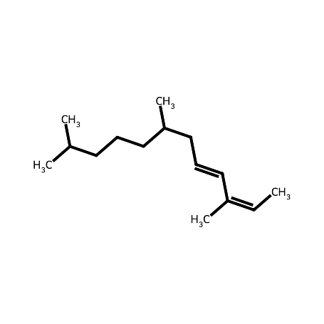 CC=C(C)C=CCC(C)CCCC(C)C